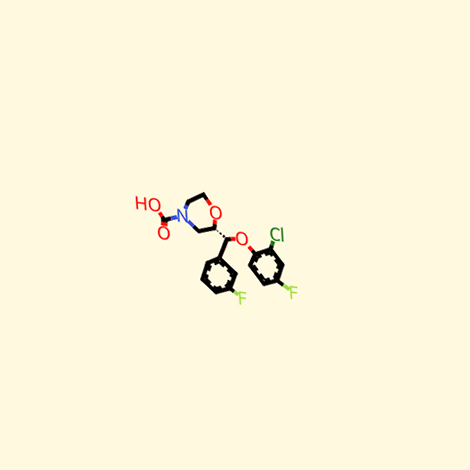 O=C(O)N1CCO[C@H](C(Oc2ccc(F)cc2Cl)c2cccc(F)c2)C1